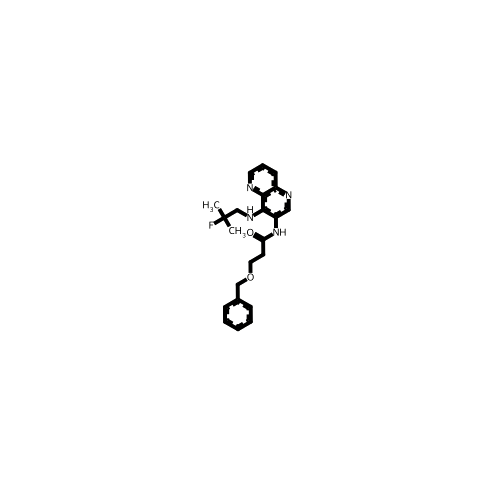 CC(C)(F)CNc1c(NC(=O)CCOCc2ccccc2)cnc2cccnc12